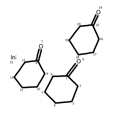 O=C1CCCCC1.O=C1CCCCC1.O=C1CCCCC1.[In]